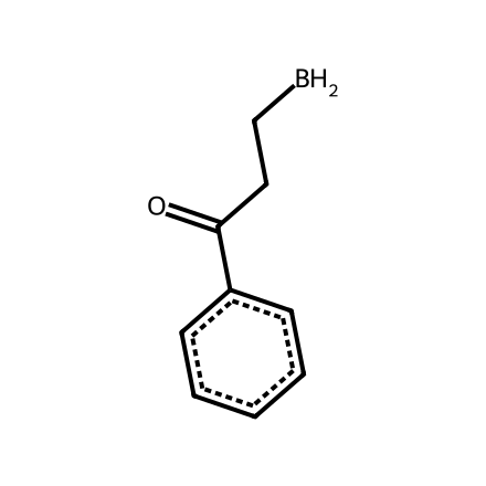 BCCC(=O)c1ccccc1